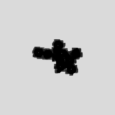 CC1C=CC=C(n2c3ccccc3c3cc(-c4ccccc4)c(Nc4cccc(C(=N)/N=C(\N=C\c5ccccc5)c5ccc(-c6ccccc6)cc5)c4)cc32)C1